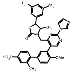 COc1ccc(-c2ccc(C(=O)O)cc2C)cc1-c1cnc(-n2ccnc2)nc1CN1C(=O)OC(c2cc(C(F)(F)F)cc(C(F)(F)F)c2)C1C